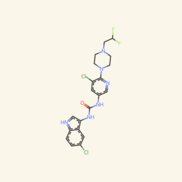 O=C(Nc1cnc(N2CCN(CC(F)F)CC2)c(Cl)c1)Nc1c[nH]c2ccc(Cl)cc12